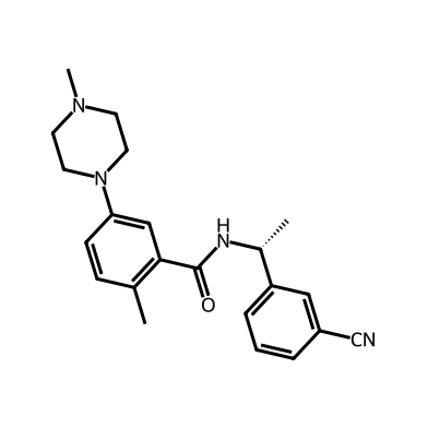 Cc1ccc(N2CCN(C)CC2)cc1C(=O)N[C@H](C)c1cccc(C#N)c1